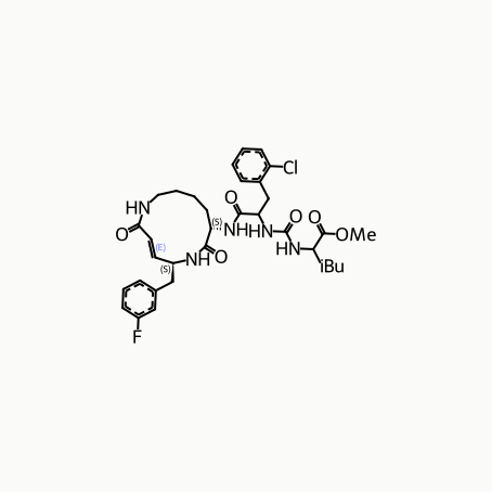 CCC(C)C(NC(=O)NC(Cc1ccccc1Cl)C(=O)N[C@H]1CCCCNC(=O)/C=C/[C@H](Cc2cccc(F)c2)NC1=O)C(=O)OC